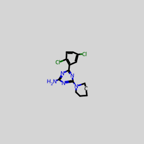 Nc1nc(-c2cc(Cl)ccc2Cl)nc(N2CCCCC2)n1